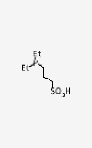 CCP(CC)CCCS(=O)(=O)O